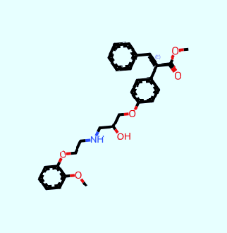 COC(=O)/C(=C/c1ccccc1)c1ccc(OCC(O)CNCCOc2ccccc2OC)cc1